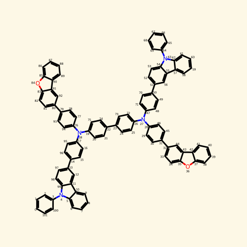 c1ccc(-n2c3ccccc3c3cc(-c4ccc(N(c5ccc(-c6ccc(N(c7ccc(-c8ccc9oc%10ccccc%10c9c8)cc7)c7ccc(-c8ccc9c(c8)c8ccccc8n9-c8ccccc8)cc7)cc6)cc5)c5ccc(-c6ccc7oc8ccccc8c7c6)cc5)cc4)ccc32)cc1